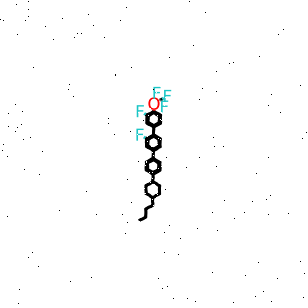 CCCCC1CCC(c2ccc(-c3ccc(-c4ccc(OC(F)(F)F)c(F)c4)c(F)c3)cc2)CC1